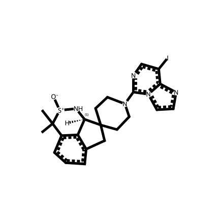 CC1(C)c2cccc3c2[C@@H](N[S+]1[O-])C1(CCN(c2ncc(I)c4nccn24)CC1)C3